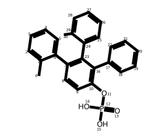 Cc1ccccc1-c1ccc(OP(=O)(O)O)c(-c2ccccc2)c1-c1ccccc1C